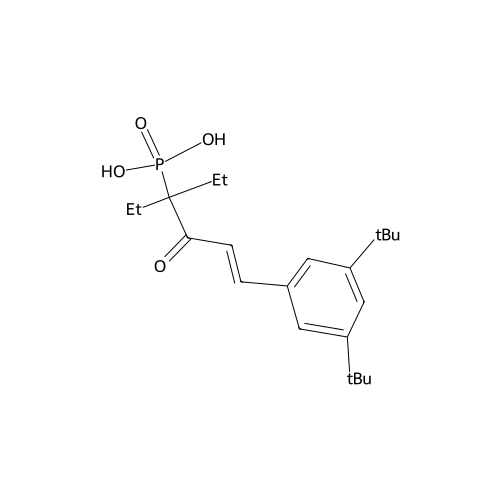 CCC(CC)(C(=O)/C=C/c1cc(C(C)(C)C)cc(C(C)(C)C)c1)P(=O)(O)O